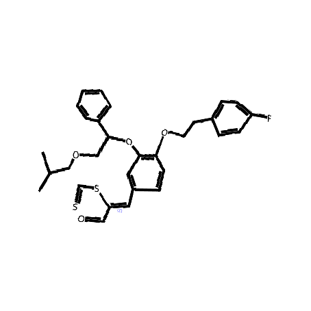 CC(C)COCC(Oc1cc(/C=C(/C=O)SC=S)ccc1OCCc1ccc(F)cc1)c1ccccc1